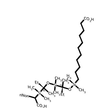 CCCCCCCCCC(C(=O)O)[Si](C)(C)[C@](C)(CC)O[Si](C)(C)[C@@](C)(CC)O[Si](C)(C)CCCCCCCCCCC(=O)O